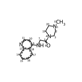 CN1CCN(C(=O)CNc2ccnc3ccccc23)CC1